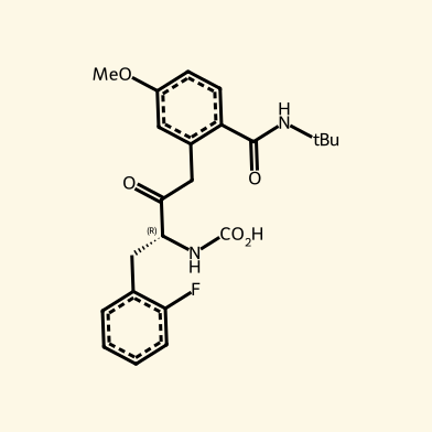 COc1ccc(C(=O)NC(C)(C)C)c(CC(=O)[C@@H](Cc2ccccc2F)NC(=O)O)c1